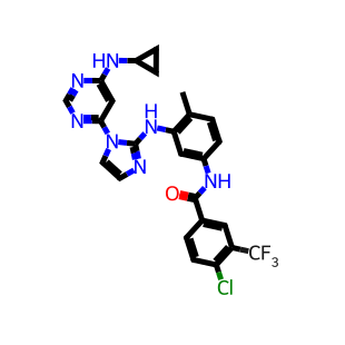 Cc1ccc(NC(=O)c2ccc(Cl)c(C(F)(F)F)c2)cc1Nc1nccn1-c1cc(NC2CC2)ncn1